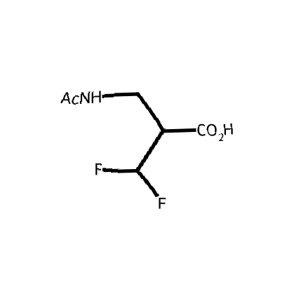 CC(=O)NCC(C(=O)O)C(F)F